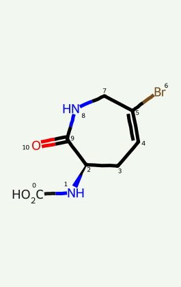 O=C(O)N[C@@H]1CC=C(Br)CNC1=O